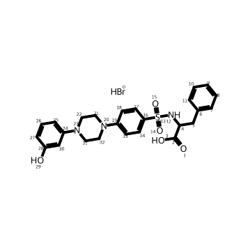 Br.O=C(O)C(Cc1ccccc1)NS(=O)(=O)c1ccc(N2CCN(c3cccc(O)c3)CC2)cc1